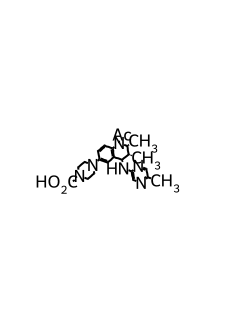 CC(=O)N1c2ccc(N3CCN(C(=O)O)CC3)cc2[C@H](Nc2cnc(C)cn2)[C@@H](C)[C@@H]1C